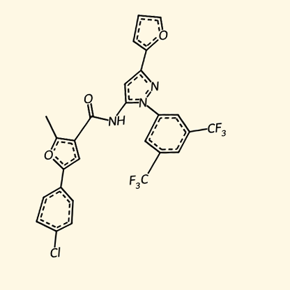 Cc1oc(-c2ccc(Cl)cc2)cc1C(=O)Nc1cc(-c2ccco2)nn1-c1cc(C(F)(F)F)cc(C(F)(F)F)c1